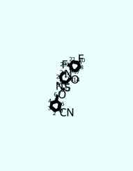 N#Cc1cccc(COc2nc3c(s2)C(=O)N(c2ccc(F)cc2F)CC3)c1